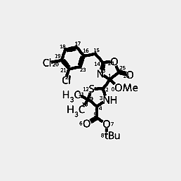 COC1(C2NC(C(=O)OC(C)(C)C)C(C)(C)S2)N=C(Cc2ccc(Cl)c(Cl)c2)OC1=O